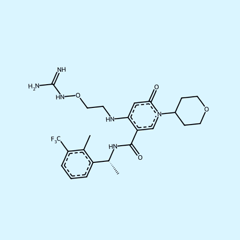 Cc1c([C@@H](C)NC(=O)c2cn(C3CCOCC3)c(=O)cc2NCCONC(=N)N)cccc1C(F)(F)F